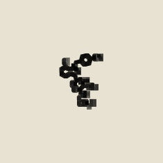 CC(C)(C)[C@H](NC(=O)c1nn(Cc2ccc(C#N)cc2)c2c(Cl)cccc12)C(=O)NCC(=O)O